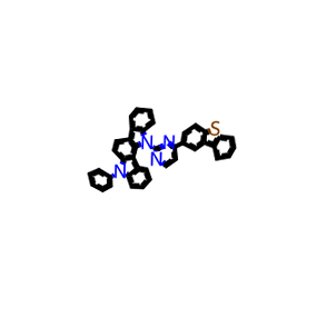 c1ccc(-n2c3ccccc3c3c2ccc2c4ccccc4n(-c4nccc(-c5ccc6sc7ccccc7c6c5)n4)c23)cc1